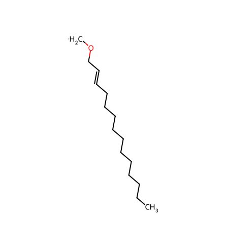 [CH2]OC/C=C/CCCCCCCCCCC